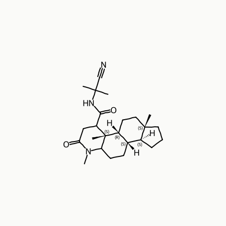 CN1C(=O)CC(C(=O)NC(C)(C)C#N)[C@@]2(C)C1CC[C@@H]1[C@H]2CC[C@]2(C)CCC[C@@H]12